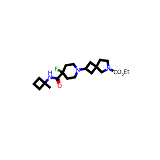 CCOC(=O)N1CCC2(CC(N3CCC(F)(C(=O)NC4(C)CCC4)CC3)C2)C1